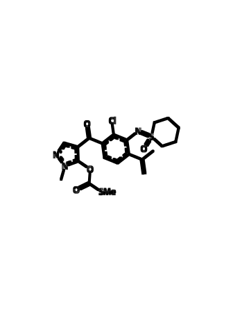 C=C(C)c1ccc(C(=O)c2cnn(C)c2OC(=O)SC)c(Cl)c1N=S1(=O)CCCCC1